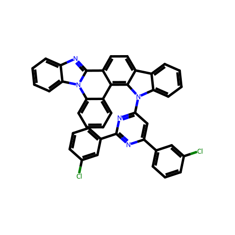 Clc1cccc(-c2cc(-n3c4ccccc4c4ccc5c(c6ccccc6n6c7ccccc7nc56)c43)nc(-c3cccc(Cl)c3)n2)c1